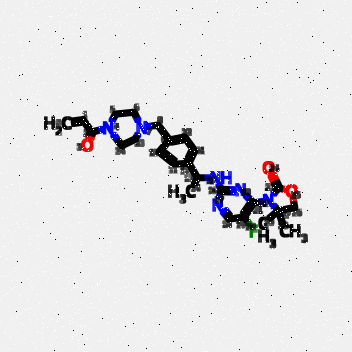 C=CC(=O)N1CCN(Cc2ccc(C(C)Nc3ncc(F)c(N4C(=O)OCC4(C)C)n3)cc2)CC1